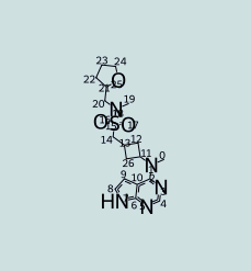 CN(c1ncnc2[nH]ccc12)C1CC(CS(=O)(=O)N(C)CC2CCCO2)C1